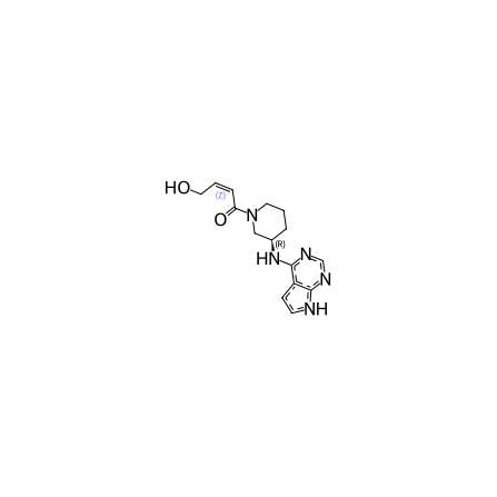 O=C(/C=C\CO)N1CCC[C@@H](Nc2ncnc3[nH]ccc23)C1